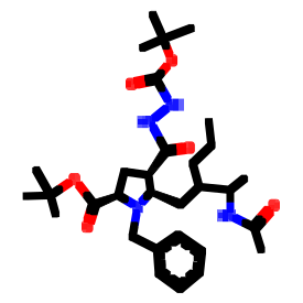 CCCC(C[C@@H]1[C@H](C(=O)NNC(=O)OC(C)(C)C)C[C@H](C(=O)OC(C)(C)C)N1Cc1ccccc1)C(C)NC(C)=O